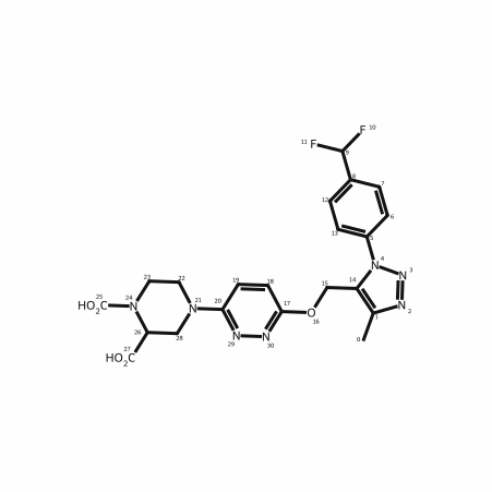 Cc1nnn(-c2ccc(C(F)F)cc2)c1COc1ccc(N2CCN(C(=O)O)C(C(=O)O)C2)nn1